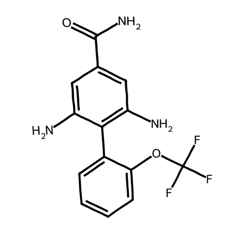 NC(=O)c1cc(N)c(-c2ccccc2OC(F)(F)F)c(N)c1